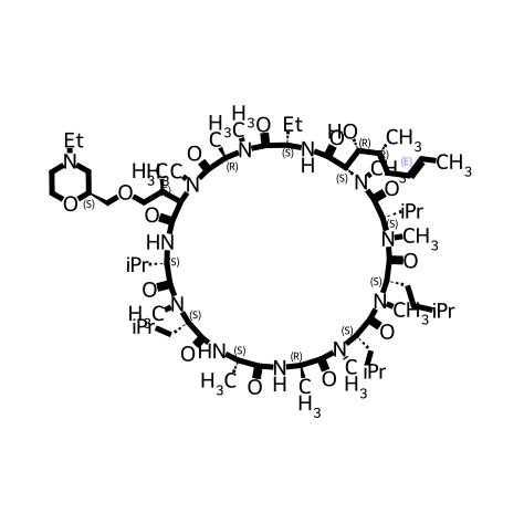 C/C=C/C[C@@H](C)[C@@H](O)[C@H]1C(=O)N[C@@H](CC)C(=O)N(C)[C@H](C)C(=O)N(C)C([C@H](C)COC[C@@H]2CN(CC)CCO2)C(=O)N[C@@H](C(C)C)C(=O)N(C)[C@@H](CC(C)C)C(=O)N[C@@H](C)C(=O)N[C@H](C)C(=O)N(C)[C@@H](CC(C)C)C(=O)N(C)[C@@H](CCC(C)C)C(=O)N(C)[C@@H](C(C)C)C(=O)N1C